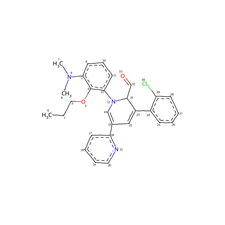 CCCOc1c(N(C)C)cccc1N1C=C(c2ccccn2)C=C(c2ccccc2Cl)C1C=O